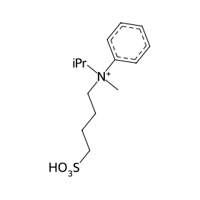 CC(C)[N+](C)(CCCCS(=O)(=O)O)c1ccccc1